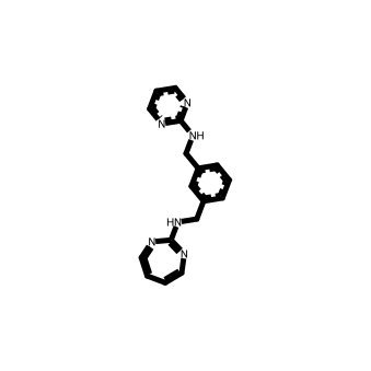 C1=CC=CN=C(NCc2cccc(CNc3ncccn3)c2)N=1